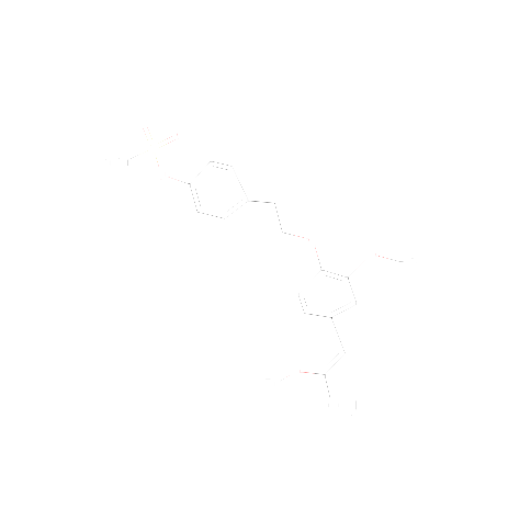 CCCCOc1cc(C=C(OCC)C(=O)O)ccc1OCCc1ccc(OS(=O)(=O)CCCC)cc1